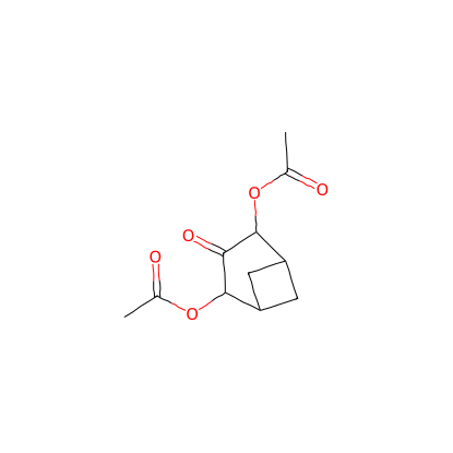 CC(=O)OC1C(=O)C(OC(C)=O)C2CC1C2